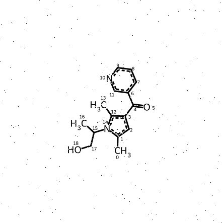 Cc1cc(C(=O)c2cccnc2)c(C)n1C(C)CO